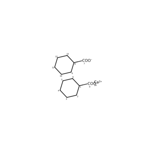 O=C([O-])C1CCCCC1.O=C([O-])C1CCCCC1.[Ca+2]